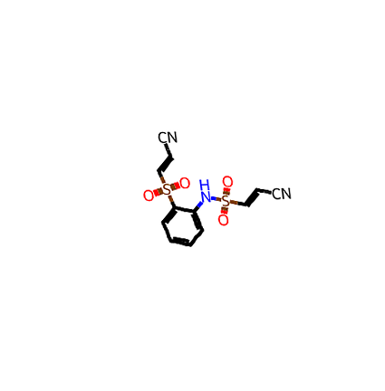 N#C/C=C/S(=O)(=O)Nc1ccccc1S(=O)(=O)/C=C/C#N